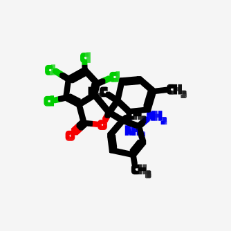 CC1=CC(N)C(C)(C2(C3(C)C=CC(C)=CC3N)OC(=O)c3c(Cl)c(Cl)c(Cl)c(Cl)c32)C=C1